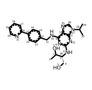 CC(O)[C@@H](CO)Nc1nc(NCc2ccc(-c3ccccn3)cc2)c2ncn(C(C)C)c2n1